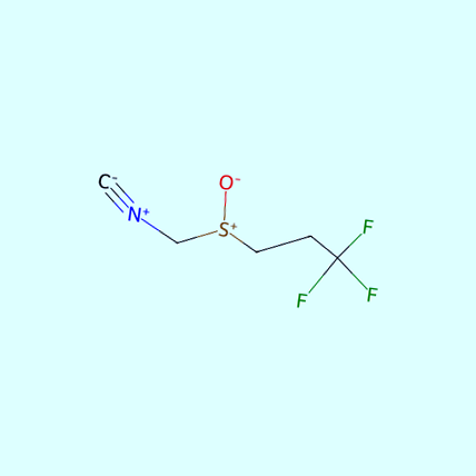 [C-]#[N+]C[S+]([O-])CCC(F)(F)F